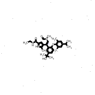 CCNC(=O)c1cc(/C(=C\N(C)C=O)c2cc(C(C)(C)O)ccc2Oc2c(C)cc(C(C)C)cc2C)c(C)[nH]1